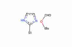 CC(C)(C)OC=O.CCc1ncc[nH]1